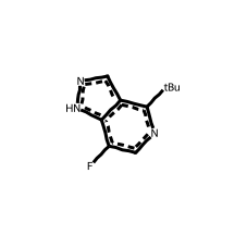 CC(C)(C)c1ncc(F)c2[nH]ncc12